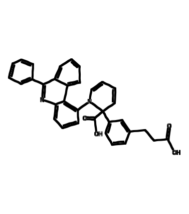 O=C(O)CCc1cccc(C2(C(=O)O)C=CC=CN2c2cccc3nc(-c4ccccc4)c4ccccc4c23)c1